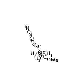 COc1cc(C)c(S(=O)(=O)N(C)CCC(=O)N2CCC(N3CCC(N4CCC(N5CCCC5)CC4)CC3)C2)c(C)c1